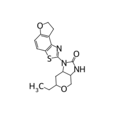 CCC1CC2C(CO1)NC(=O)N2c1nc2c3c(ccc2s1)OCC3